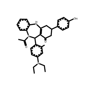 CCN(CC)c1ccc(C2C3=C(CC(c4ccc(O)cc4)CC3=O)Nc3ccccc3N2C(C)=O)c(C)c1